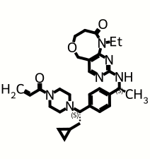 C=CC(=O)N1CCN([C@@H](CC2CC2)c2ccc([C@H](C)Nc3ncc4c(n3)N(CC)C(=O)CCOC4)cc2)CC1